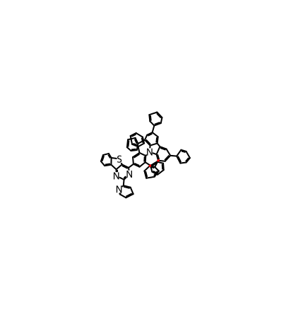 c1ccc(-c2cc(-c3ccccc3)c3c(c2)c2cc(-c4ccccc4)cc(-c4ccccc4)c2n3-c2c(-c3ccccc3)cc(-c3nc(-c4ccccn4)nc4c3sc3ccccc34)cc2-c2ccccc2)cc1